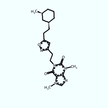 C[C@H]1CCC[C@@H](CCc2cc(CCn3c(=O)c4c(ncn4C)n(C)c3=O)no2)C1